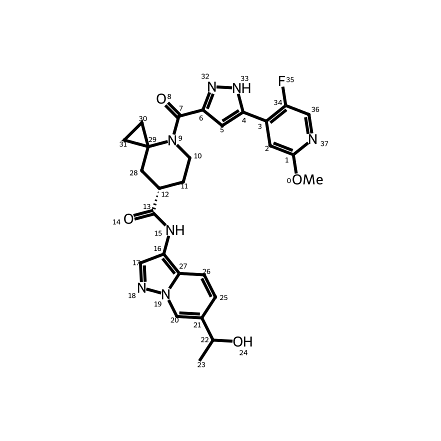 COc1cc(-c2cc(C(=O)N3CC[C@H](C(=O)Nc4cnn5cc(C(C)O)ccc45)CC34CC4)n[nH]2)c(F)cn1